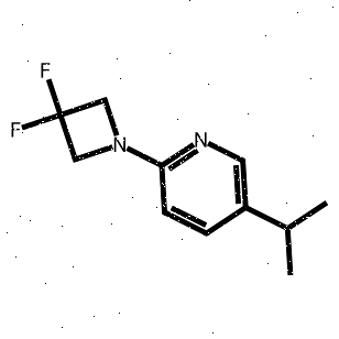 CC(C)c1ccc(N2CC(F)(F)C2)nc1